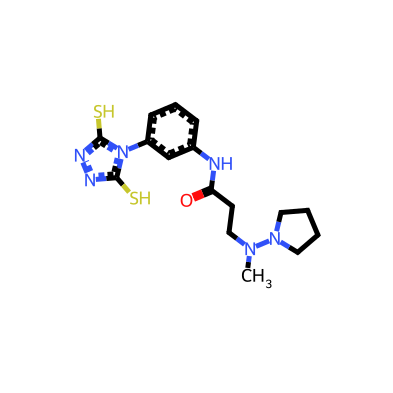 CN(CCC(=O)Nc1cccc(-n2c(S)nnc2S)c1)N1CCCC1